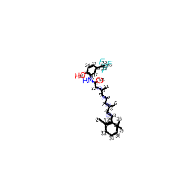 CC1=C(/C=C/C(C)=C/C=C/C(C)=C/C(=O)Nc2cc(C(F)(F)F)ccc2O)C(C)(C)CCC1